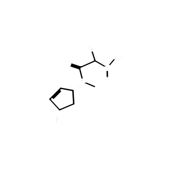 CCCCP(C)C(N=O)C(=O)N(C)[C@H]1C=C[C@@H](C)C1